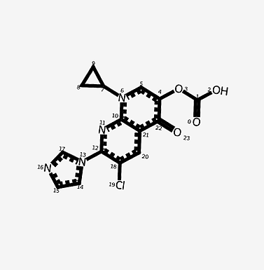 O=C(O)Oc1cn(C2CC2)c2nc(-n3ccnc3)c(Cl)cc2c1=O